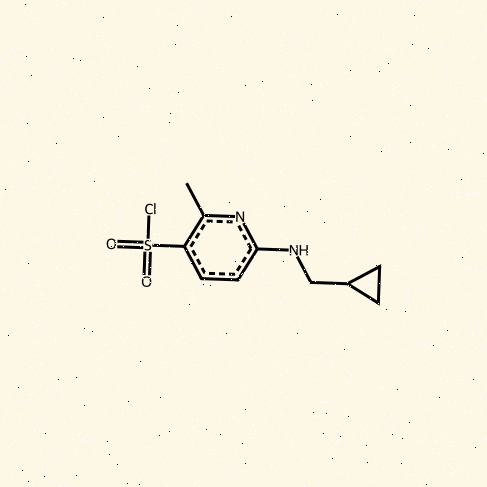 Cc1nc(NCC2CC2)ccc1S(=O)(=O)Cl